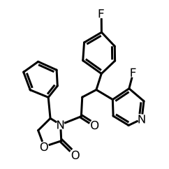 O=C(CC(c1ccc(F)cc1)c1ccncc1F)N1C(=O)OCC1c1ccccc1